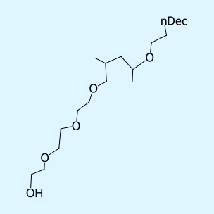 CCCCCCCCCCCCOC(C)CC(C)COCCOCCOCCO